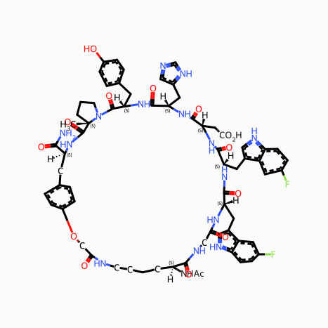 CC(=O)N[C@H]1CCCCNC(=O)COc2ccc(cc2)C[C@@H](C(N)=O)NC(=O)[C@]2(C)CCCN2C(=O)[C@H](Cc2ccc(O)cc2)NC(=O)[C@H](Cc2cnc[nH]2)NC(=O)[C@H](CC(=O)O)NC(=O)[C@H](Cc2c[nH]c3ccc(F)cc23)NC(=O)[C@H](Cc2c[nH]c3ccc(F)cc23)NC(=O)CNC1=O